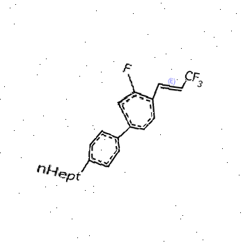 CCCCCCCc1ccc(-c2ccc(/C=C/C(F)(F)F)c(F)c2)cc1